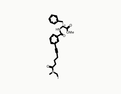 COC(=O)[C@@H](Cc1ccccc1)NC(=O)c1cccc(C#CCCCC(=O)N(C)CI)c1